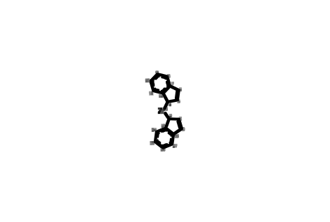 C1=C[CH]([Zr][CH]2C=Cc3ccccc32)c2ccccc21